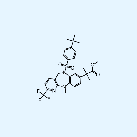 COC(=O)C(C)(C)c1ccc2c(c1)N(S(=O)(=O)c1ccc(C(C)(C)C)cc1)Cc1ccc(C(F)(F)F)nc1N2